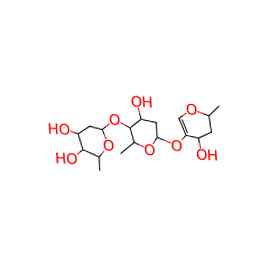 CC1CC(O)C(OC2CC(O)C(OC3CC(O)C(O)C(C)O3)C(C)O2)=CO1